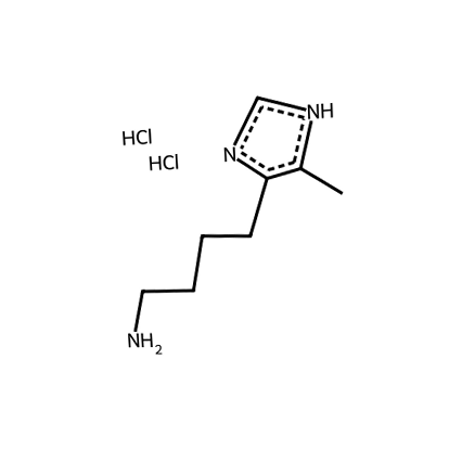 Cc1[nH]cnc1CCCCN.Cl.Cl